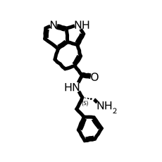 NC[C@H](Cc1ccccc1)NC(=O)C1=Cc2c[nH]c3nccc(c23)CC1